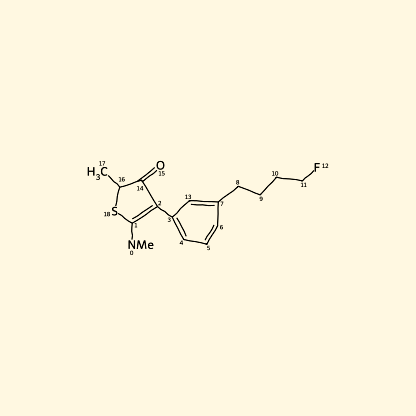 CNC1=C(c2cccc(CCCCF)c2)C(=O)C(C)S1